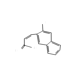 C=C(S)/C=C\c1cc2ccccc2cc1C